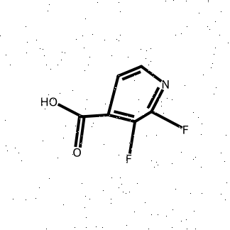 O=C(O)c1ccnc(F)c1F